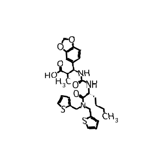 CCCC[C@@H](NC(=O)N[C@H](c1ccc2c(c1)OCO2)C(C)C(=O)O)C(=O)N(Cc1cccs1)Cc1cccs1